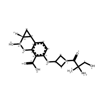 CC(N)(CO)C(=O)N1CC(Oc2ccc3c(c2C(=O)O)OB(O)[C@@H]2CC32)C1